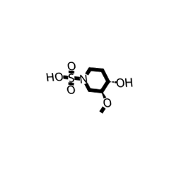 CO[C@H]1CN(S(=O)(=O)O)CC[C@@H]1O